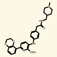 COc1nc(-c2cccc3c2OCCO3)ccc1Nc1ccc(CC(=O)NCC2CCN(C)CC2)cc1